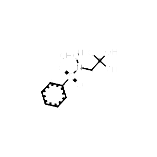 CC(C)(O)CN(C=O)S(=O)(=O)c1ccccc1